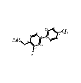 CSCc1ccc(-c2ccc(C(F)(F)F)cc2)cc1F